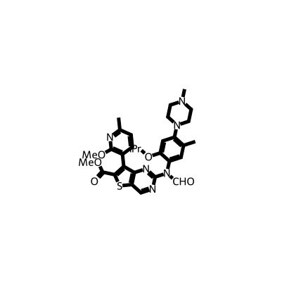 COC(=O)c1sc2cnc(N(C=O)c3cc(C)c(N4CCN(C)CC4)cc3OC(C)C)nc2c1-c1ccc(C)nc1OC